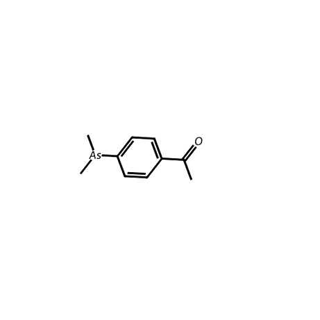 CC(=O)c1ccc([As](C)C)cc1